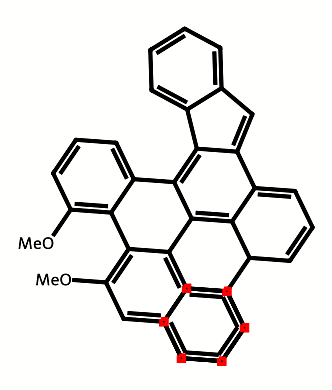 COc1cccc2c1c1c(OC)cc3ccccc3c1c1c3c(c4c(c21)-c1ccccc1C=4)=CC=CC3c1ccccc1